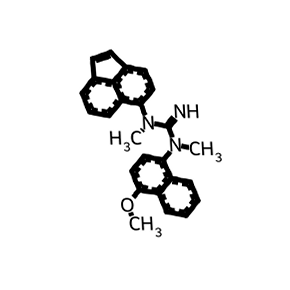 COc1ccc(N(C)C(=N)N(C)c2ccc3c4c(cccc24)C=C3)c2ccccc12